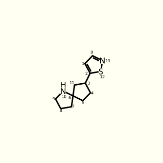 c1cc(C2CCC3(CCCN3)C2)sn1